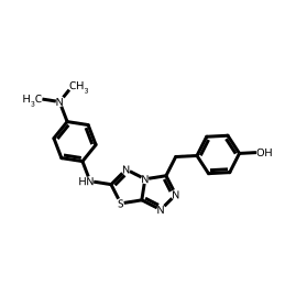 CN(C)c1ccc(Nc2nn3c(Cc4ccc(O)cc4)nnc3s2)cc1